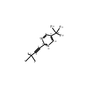 CC(C)(C)C#Cc1ncc(C(F)(F)F)cn1